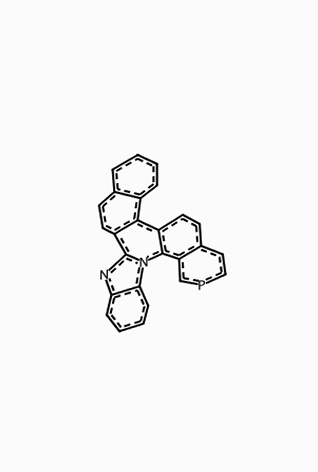 c1ccc2c(c1)ccc1c2c2ccc3ccpcc3c2n2c3ccccc3nc12